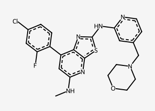 CNc1cc(-c2ccc(Cl)cc2F)c2nc(Nc3cc(CN4CCOCC4)ccn3)sc2n1